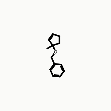 CC1(OCc2ccccc2)C=CCC1